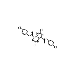 Clc1ccc(CNc2nc(Cl)nc3c(NCc4ccc(Cl)cc4)nc(Cl)nc23)cc1